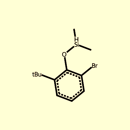 C[SiH](C)Oc1c(Br)cccc1C(C)(C)C